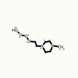 CN1CCN(CCOOOO)CC1